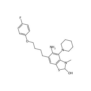 CN1c2c(cc(CCCCOc3ccc(F)cc3)c(N)c2N2CCCCC2)SC1O